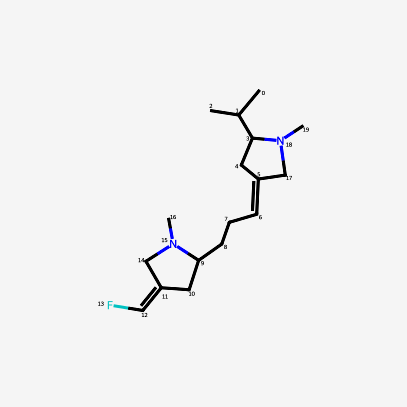 CC(C)C1C/C(=C\CCC2C/C(=C/F)CN2C)CN1C